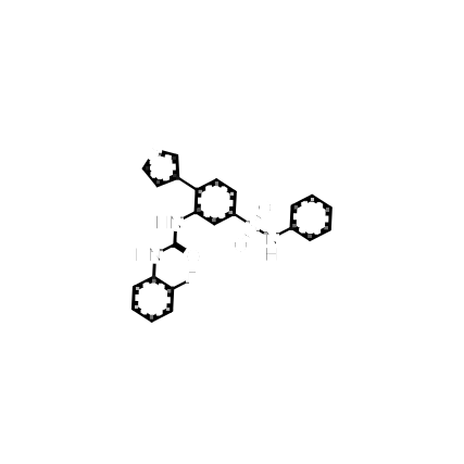 O=C(Nc1ccccc1F)Nc1cc(S(=O)(=O)Nc2ccccc2)ccc1-c1ccsc1